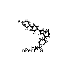 CCCCCNC(=O)N1CCN(c2ccnn3cc(-c4ccc(C5CCN(C(C)C)CC5)cc4)cc23)CC1